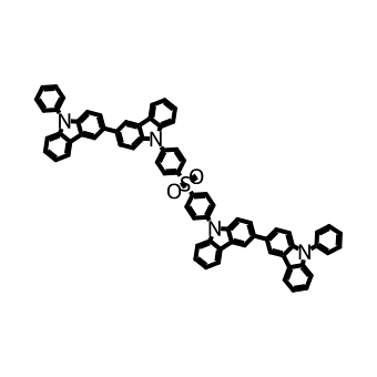 O=S(=O)(c1ccc(-n2c3ccccc3c3cc(-c4ccc5c(c4)c4ccccc4n5-c4ccccc4)ccc32)cc1)c1ccc(-n2c3ccccc3c3cc(-c4ccc5c(c4)c4ccccc4n5-c4ccccc4)ccc32)cc1